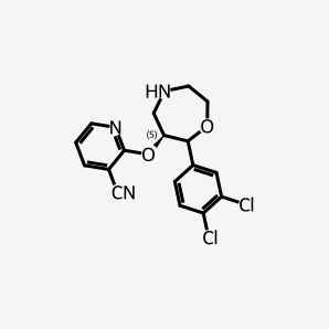 N#Cc1cccnc1O[C@H]1CNCCOC1c1ccc(Cl)c(Cl)c1